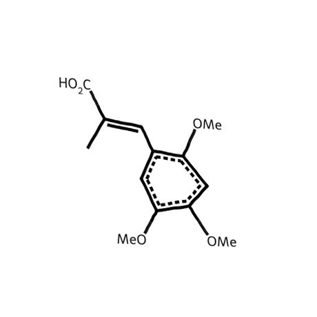 COc1cc(OC)c(OC)cc1/C=C(\C)C(=O)O